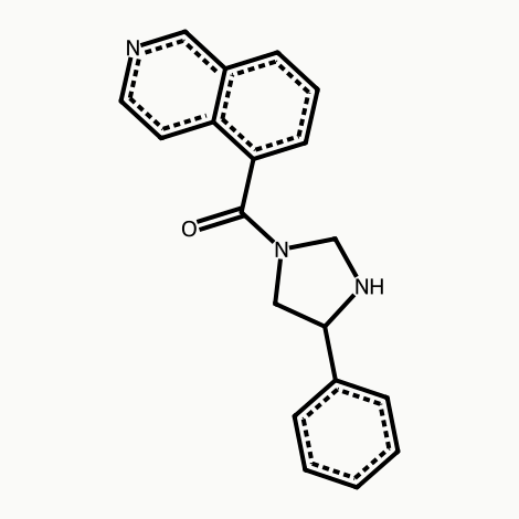 O=C(c1cccc2cnccc12)N1CNC(c2ccccc2)C1